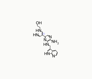 N=C/C(=C\NCCO)c1cnc(N)c(NCc2c[nH]c3ncccc23)n1